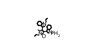 C=CCN1C(=O)C(c2cn(P)c3ccccc23)=C(c2cn(CC=C)c3ccccc23)C1C